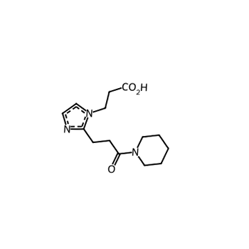 O=C(O)CCn1ccnc1CCC(=O)N1CCCCC1